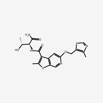 Cc1ncsc1COc1cc2c(C(=O)N[C@H](C(N)=O)[C@@H](C)O)c(C)oc2cn1